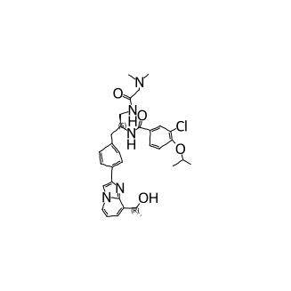 CC(C)Oc1ccc(C(=O)N[C@H](CNC(=O)CN(C)C)Cc2ccc(-c3cn4cccc([C@@H](C)O)c4n3)cc2)cc1Cl